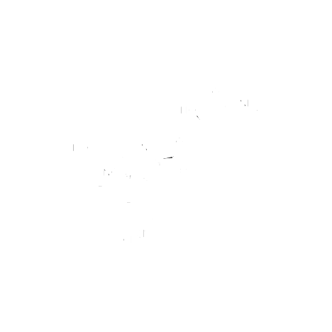 N#C[C@]1(c2ccc(Cl)cc2F)[C@H](C(CO)C2CCCCC2)N[C@@H](C(=O)OC[C@@H](O)CC(N)=O)[C@@H]1c1cccc(Cl)c1F